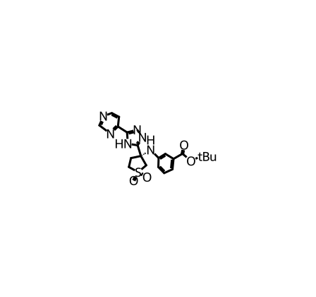 CC(C)(C)OC(=O)c1cccc(N[C@@]2(c3nnc(-c4ccncn4)[nH]3)CCS(=O)(=O)C2)c1